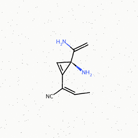 C=C(N)[C@@]1(N)C=C1/C(C#N)=C\C